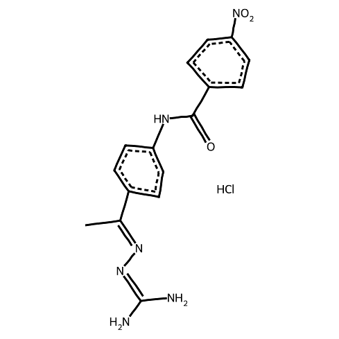 CC(=NN=C(N)N)c1ccc(NC(=O)c2ccc([N+](=O)[O-])cc2)cc1.Cl